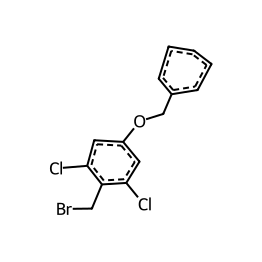 Clc1cc(OCc2ccccc2)cc(Cl)c1CBr